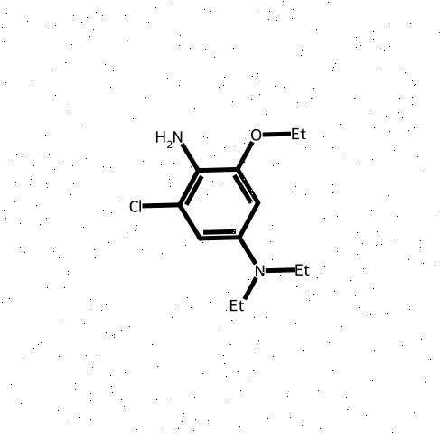 CCOc1cc(N(CC)CC)cc(Cl)c1N